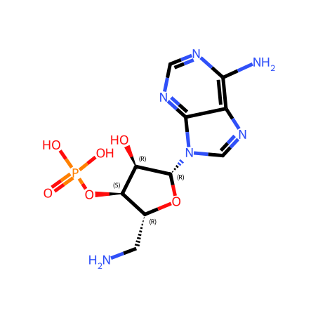 NC[C@H]1O[C@@H](n2cnc3c(N)ncnc32)[C@H](O)[C@@H]1OP(=O)(O)O